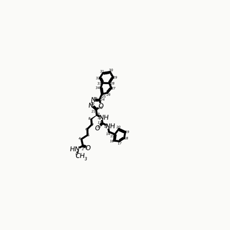 CNC(=O)CCCCC[C@H](NC(=O)NCc1ccccc1)c1nnc(-c2ccc3ccccc3c2)o1